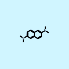 CN(C)c1ccc2cc(N(C)C)ccc2c1